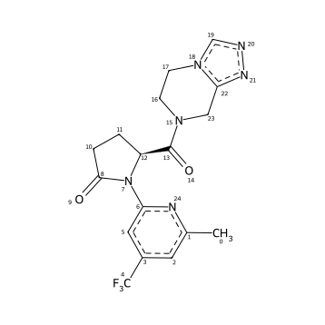 Cc1cc(C(F)(F)F)cc(N2C(=O)CC[C@H]2C(=O)N2CCn3cnnc3C2)n1